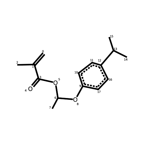 C=C(C)C(=O)OC(C)Oc1ccc(C(C)C)cc1